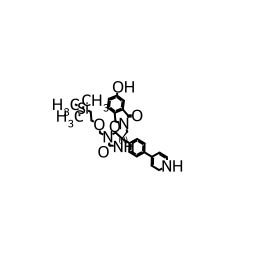 C[Si](C)(C)CCOCN1C(=O)N[C@@](CN2Cc3ccc(O)cc3C2=O)(c2ccc(C3=CCNC=C3)cc2)C1=O